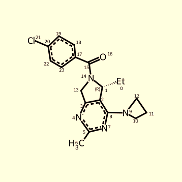 CC[C@@H]1c2c(nc(C)nc2N2CCC2)CN1C(=O)c1ccc(Cl)cc1